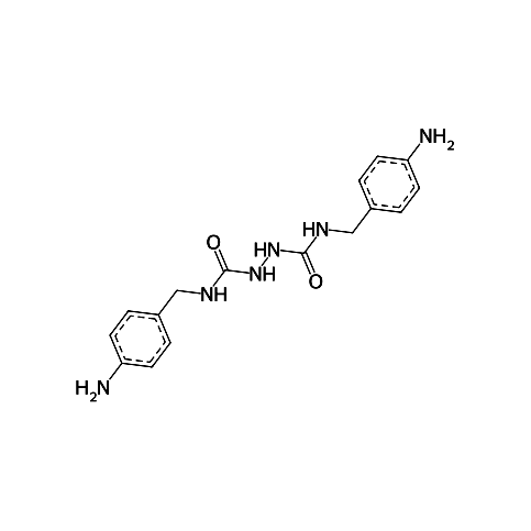 Nc1ccc(CNC(=O)NNC(=O)NCc2ccc(N)cc2)cc1